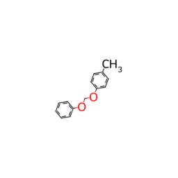 Cc1ccc(OCOc2ccccc2)cc1